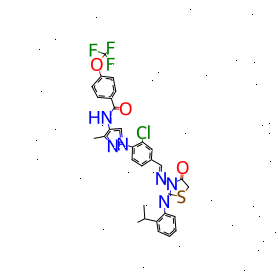 Cc1nn(-c2ccc(C=NN3C(=O)CS/C3=N\c3ccccc3C(C)C)cc2Cl)cc1NC(=O)c1ccc(OC(F)(F)F)cc1